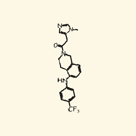 Cn1cncc1CC(=O)N1CCc2c(cccc2Nc2ccc(C(F)(F)F)cc2)C1